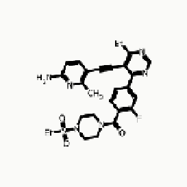 CCc1ncnc(-c2ccc(C(=O)N3CCN(S(=O)(=O)CC)CC3)c(F)c2)c1C#Cc1ccc(N)nc1C